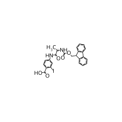 C[C@H](NC(=O)OCC1c2ccccc2-c2ccccc21)C(=O)Nc1ccc(C(=O)O)c(I)c1